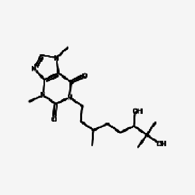 CC(CCC(O)C(C)(C)O)CCn1c(=O)c2c(ncn2C)n(C)c1=O